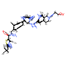 Cc1cc(-c2cc(Nc3cc4c(cn3)CN(CCO)CC4)ncn2)ccc1CNC(=O)c1cnc(C(C)(C)C)s1